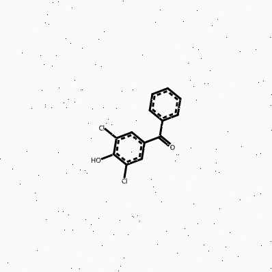 O=C(c1ccccc1)c1cc(Cl)c(O)c(Cl)c1